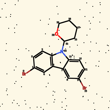 Brc1ccc2c(c1)c1cc(Br)ccc1n2C1CCCCO1